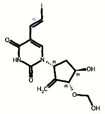 C=C1[C@@H](OCO)[C@H](O)C[C@H]1n1cc(/C=C/I)c(=O)[nH]c1=O